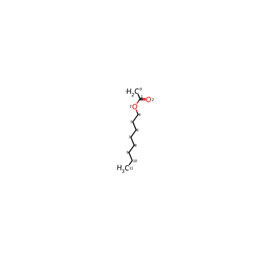 [CH2]C(=O)OCCCCCCCC